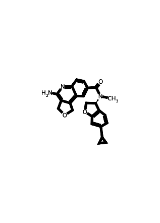 CN(C(=O)c1ccc2nc(N)c3c(c2c1)COC3)[C@H]1COc2cc(C3CC3)ccc21